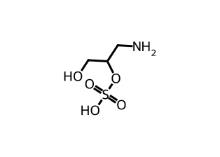 NCC(CO)OS(=O)(=O)O